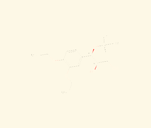 COCOc1ccc([C@@H](O[Si](C)(C)C(C)(C)C)[C@H](O)CO)cc1OCOC